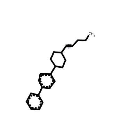 CCC/C=C/C1CCC(c2ccc(-c3ccccc3)cc2)CC1